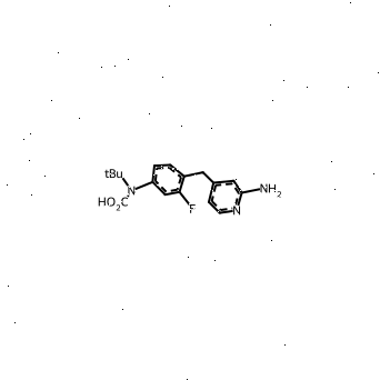 CC(C)(C)N(C(=O)O)c1ccc(Cc2ccnc(N)c2)c(F)c1